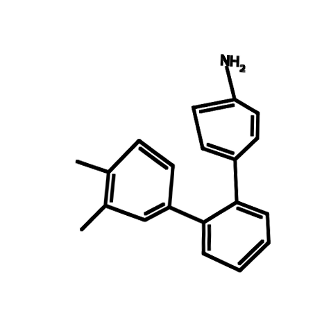 Cc1ccc(-c2ccccc2-c2ccc(N)cc2)cc1C